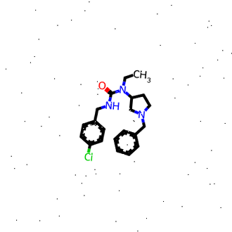 CCN(C(=O)NCc1ccc(Cl)cc1)C1CCN(Cc2ccccc2)C1